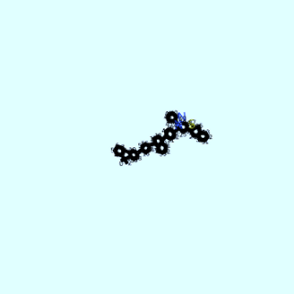 CC1(C)c2ccccc2-c2cc(-c3ccc(-c4ccc(-c5ccc(-c6cc7c8cc9ccccc9cc8sc7c7nc8ccccc8n67)cc5)c5ccccc45)cc3)ccc21